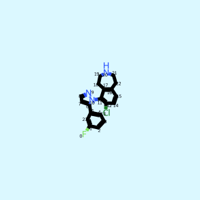 Fc1cccc(-c2ccnn2-c2c(Cl)ccc3c2CCNCC3)c1